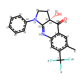 Cc1cc2c(cc1C(F)(F)F)N=C1N(c3ccccc3)CC[C@@]1(O)C2=O